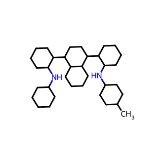 CC1CCC(NC2CCCCC2C2CCC(C3CCCCC3NC3CCCCC3)C3CCCCC23)CC1